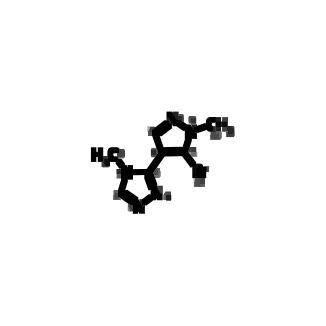 Cn1cnnc1-c1cnn(C)c1Br